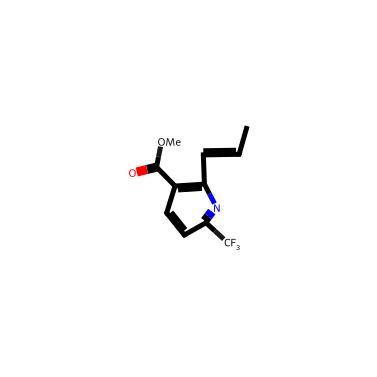 C/C=C/c1nc(C(F)(F)F)ccc1C(=O)OC